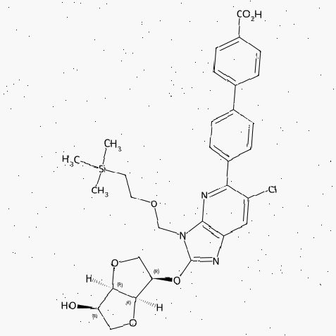 C[Si](C)(C)CCOCn1c(O[C@@H]2CO[C@H]3[C@@H]2OC[C@H]3O)nc2cc(Cl)c(-c3ccc(-c4ccc(C(=O)O)cc4)cc3)nc21